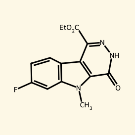 CCOC(=O)c1n[nH]c(=O)c2c1c1ccc(F)cc1n2C